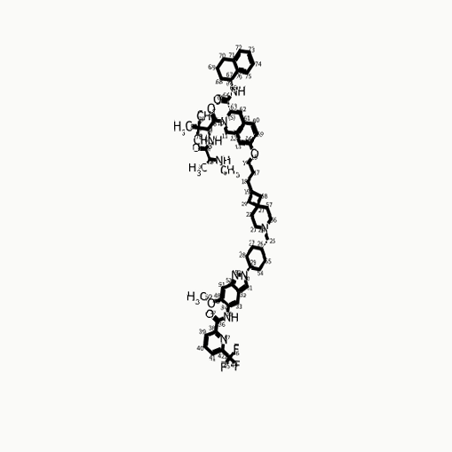 CN[C@@H](C)C(=O)N[C@H](C(=O)N1Cc2cc(OCCCC3CC4(CCN(C[C@H]5CC[C@H](n6cc7cc(NC(=O)c8cccc(C(F)(F)F)n8)c(OC)cc7n6)CC5)CC4)C3)ccc2C[C@H]1C(=O)N[C@@H]1CCCc2ccccc21)C(C)(C)C